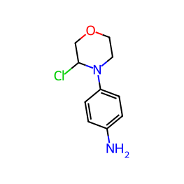 Nc1ccc(N2CCOCC2Cl)cc1